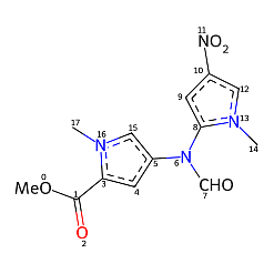 COC(=O)c1cc(N(C=O)c2cc([N+](=O)[O-])cn2C)cn1C